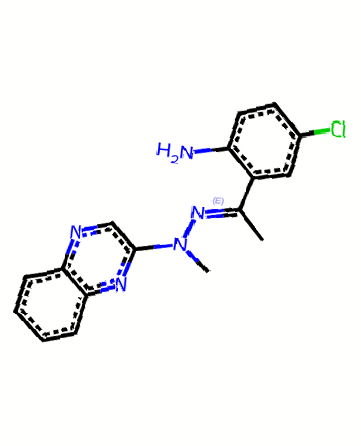 C/C(=N\N(C)c1cnc2ccccc2n1)c1cc(Cl)ccc1N